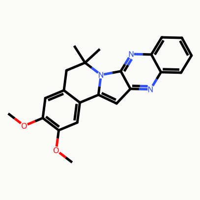 COc1cc2c(cc1OC)-c1cc3nc4ccccc4nc3n1C(C)(C)C2